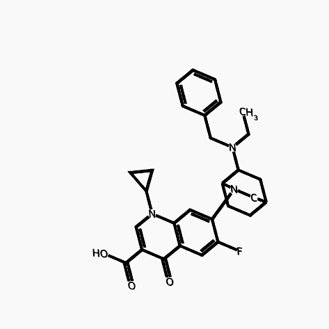 CCN(Cc1ccccc1)C1CC2CCC1N(c1cc3c(cc1F)c(=O)c(C(=O)O)cn3C1CC1)C2